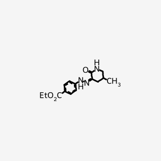 CCOC(=O)c1ccc(NN=C2CC(C)CNC2=O)cc1